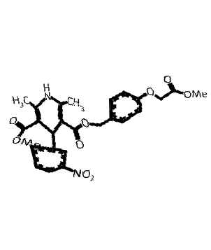 COC(=O)COc1ccc(COC(=O)C2=C(C)NC(C)=C(C(=O)OC)C2c2cccc([N+](=O)[O-])c2)cc1